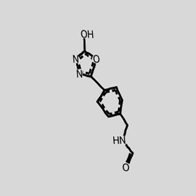 O=CNCc1ccc(-c2nnc(O)o2)cc1